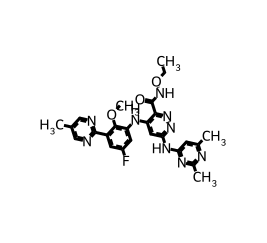 CCONC(=O)c1nnc(Nc2cc(C)nc(C)n2)cc1Nc1cc(F)cc(-c2ncc(C)cn2)c1OC